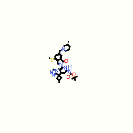 CSc1cc(CN2CCC[C@H](C)C2)cc2c1CN(c1cc(C3(c4nncn4C)CC(C)C3)cc(NC(=O)OC(C)(C)C)n1)C2=O